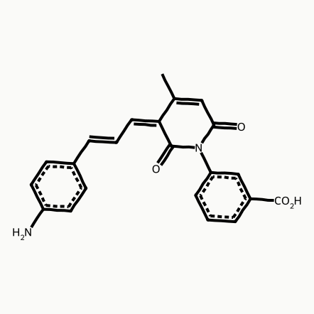 CC1=CC(=O)N(c2cccc(C(=O)O)c2)C(=O)/C1=C\C=Cc1ccc(N)cc1